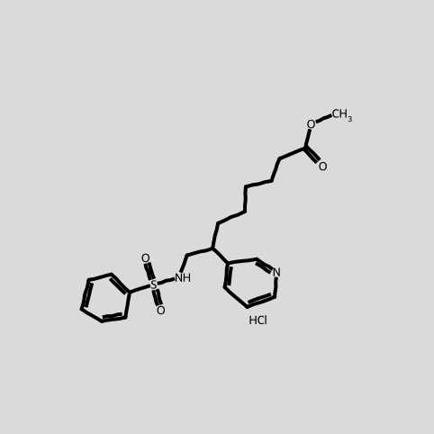 COC(=O)CCCCCC(CNS(=O)(=O)c1ccccc1)c1cccnc1.Cl